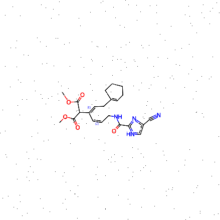 COC(=O)C(C(=O)OC)C(/C=C\CNC(=O)c1nc(C#N)c[nH]1)=C/CC1=CCCCC1